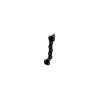 Cc1ccc(S(=O)(=O)OCCOCCOCCOCCOCCOc2ccc(B3OC(C)(C)C(C)(C)O3)cc2)cc1